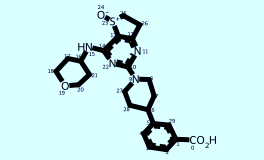 O=C(O)c1cccc(C2CCN(c3nc4c(c(NC5CCOCC5)n3)[S+]([O-])CC4)CC2)c1